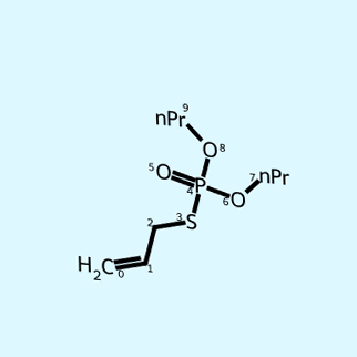 C=CCSP(=O)(OCCC)OCCC